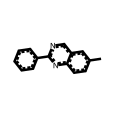 Cc1ccc2nc(-c3ccccc3)ncc2c1